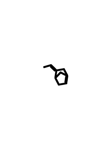 C/C=C1/CC2=CCC1C2